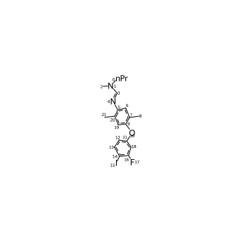 CCCN(C)C=Nc1cc(C)c(Oc2ccc(I)c(F)c2)cc1C